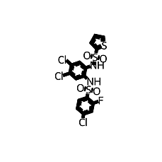 O=S(=O)(Nc1cc(Cl)c(Cl)cc1NS(=O)(=O)c1ccc(Cl)cc1F)c1cccs1